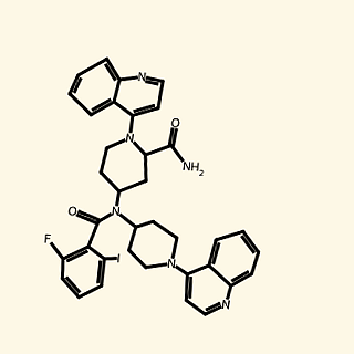 NC(=O)C1CC(N(C(=O)c2c(F)cccc2I)C2CCN(c3ccnc4ccccc34)CC2)CCN1c1ccnc2ccccc12